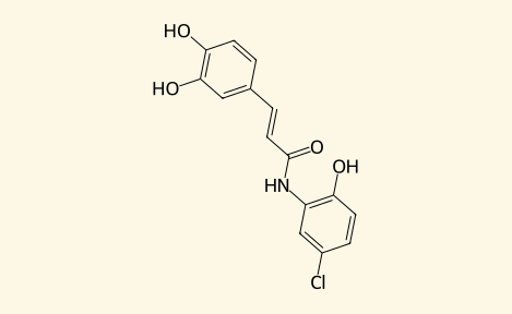 O=C(C=Cc1ccc(O)c(O)c1)Nc1cc(Cl)ccc1O